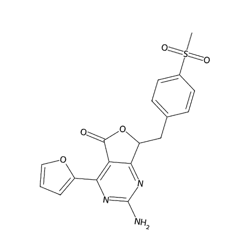 CS(=O)(=O)c1ccc(CC2OC(=O)c3c(-c4ccco4)nc(N)nc32)cc1